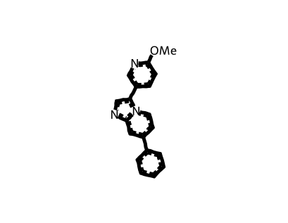 COc1ccc(-c2cnc3cc(-c4ccccc4)ccn23)cn1